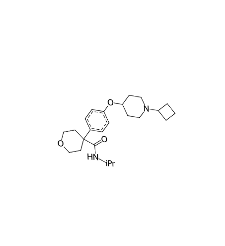 CC(C)NC(=O)C1(c2ccc(OC3CCN(C4CCC4)CC3)cc2)CCOCC1